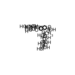 Br.CS(=O)(=O)O.N#CS.O=P(O)(O)OP(=O)(O)O.O=S(=O)(O)O.O=S(=O)(O)c1ccc2ccccc2c1.O=[N+]([O-])O.O=[PH](O)O